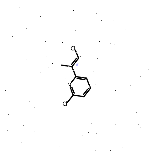 C/C(=C\Cl)c1cccc(Cl)n1